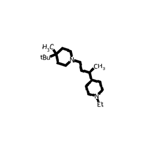 CCN1CCC(C(C)CCN2CCC(C)(C(C)(C)C)CC2)CC1